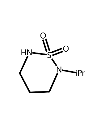 CC(C)N1CCCNS1(=O)=O